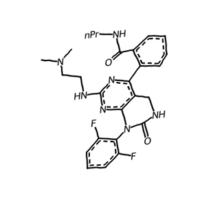 CCCNC(=O)c1ccccc1-c1nc(NCCN(C)C)nc2c1CNC(=O)N2c1c(F)cccc1F